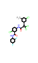 O=C(Nc1ccc(F)cc1F)c1cc(NC(=O)C2C(c3cc(Cl)cc(C(F)(F)F)c3)C2(Cl)Cl)ccc1Cl